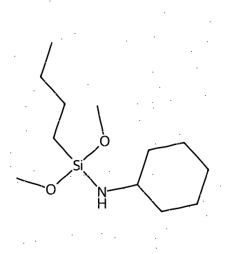 CCCC[Si](NC1CCCCC1)(OC)OC